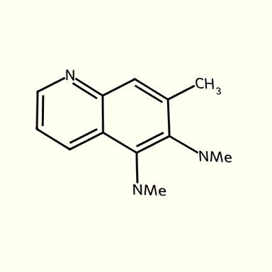 CNc1c(C)cc2ncccc2c1NC